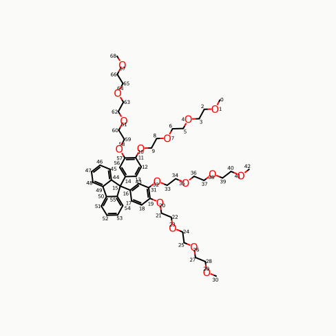 COCCOCCOCCOc1ccc(C2(c3ccc(OCCOCCOCCOC)c(OCCOCCOCCOC)c3)c3ccccc3-c3ccccc32)cc1OCCOCCOCCOC